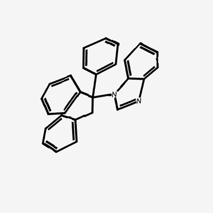 c1ccc(CC(c2ccccc2)(c2ccccc2)n2cnc3ccccc32)cc1